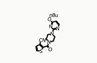 CCCCOc1ccnc(N2CCN(C(=O)c3sccc3C#N)CC2)n1